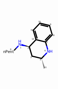 CCCCCN[C@@H]1C[C@@H](C)Nc2ccccc21